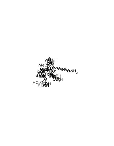 COc1cc2c(cc1OCc1cccc(COc3cc4c(cc3OC)C(=O)N3CC5(CC5)C[C@H]3[C@H](O)N4C(=O)OCc3ccc(NC(=O)[C@H](CO[C@@H]4O[C@H](C(=O)O)[C@@H](O)[C@H](O)[C@H]4O)NC(=O)[C@@H](NC(C)=O)C(C)C)cc3NC(=O)CCOCCOCCOCCOCCN)c1)N(C(=O)OCc1ccc(O[C@@H]3O[C@H](C(=O)O)[C@@H](O)[C@H](O)[C@H]3O)cc1)[C@@H](O)[C@@H]1CC3(CC3)CN1C2=O